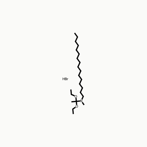 Br.CCCCCCCCCCCCCCCCN(C)C(C)(OCC)OCC